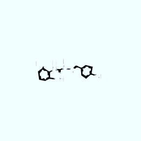 Cc1cccc(C)c1NC(=S)N/N=C/c1ccc(N)cc1